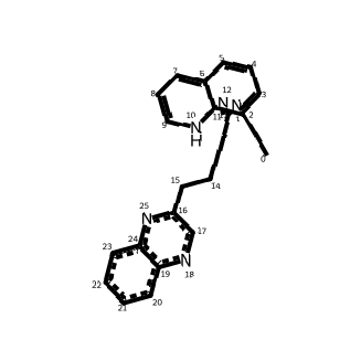 CN1C2=CC=CC3=CC=CNC32N=C1CCc1cnc2ccccc2n1